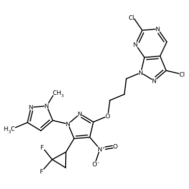 Cc1cc(-n2nc(OCCCn3nc(Cl)c4cnc(Cl)nc43)c([N+](=O)[O-])c2C2CC2(F)F)n(C)n1